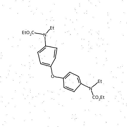 CCOC(=O)N(CC)c1ccc(Oc2ccc(N(CC)C(=O)OCC)cc2)cc1